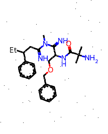 CCC(CC(=N)N(C)C(=N)C(COCc1ccccc1)NC(=O)C(C)(C)N)c1ccccc1